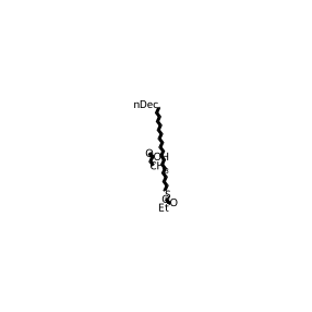 CCC(=O)O.CCCCCCCCCCCCCCCCCCCCCCCCCCCCCCSOC(=O)CC